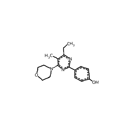 CCc1nc(-c2ccc(O)cc2)nc(N2CCOCC2)c1C